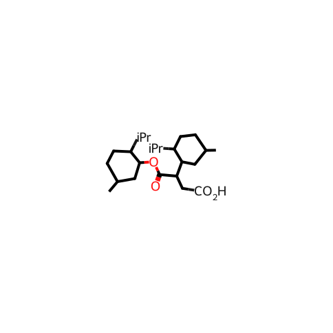 CC1CCC(C(C)C)C(OC(=O)C(CC(=O)O)C2CC(C)CCC2C(C)C)C1